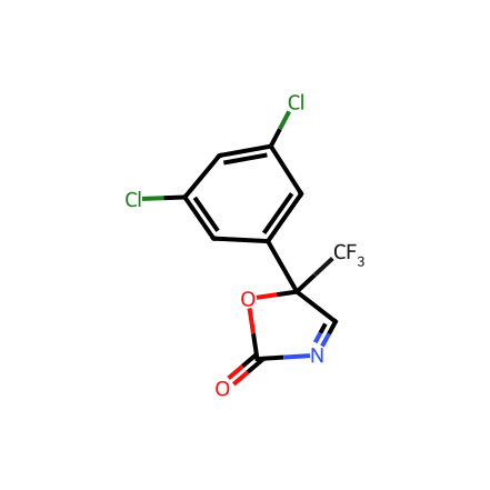 O=C1N=CC(c2cc(Cl)cc(Cl)c2)(C(F)(F)F)O1